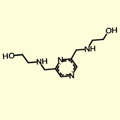 OCCNCc1cncc(CNCCO)n1